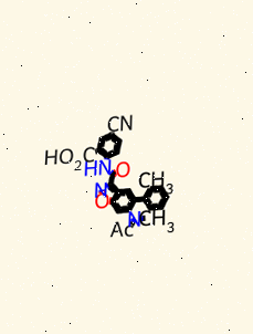 CC(=O)N(C)c1cc2onc(C(=O)Nc3ccc(C#N)cc3C(=O)O)c2cc1-c1ccccc1C